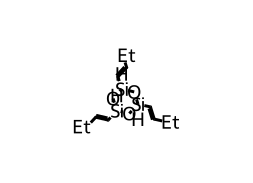 CCC=C[SiH]1O[SiH](C=CCC)O[SiH](C=CCC)O1